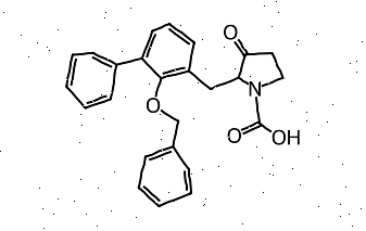 O=C1CCN(C(=O)O)C1Cc1cccc(-c2ccccc2)c1OCc1ccccc1